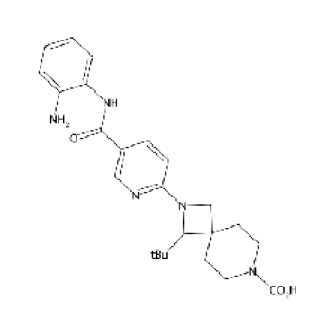 CC(C)(C)C1N(c2ccc(C(=O)Nc3ccccc3N)cn2)CC12CCN(C(=O)O)CC2